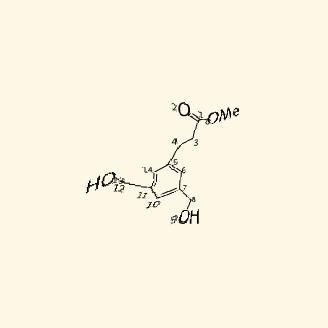 COC(=O)CCc1cc(CO)cc(CO)c1